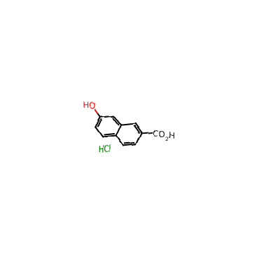 Cl.O=C(O)c1ccc2ccc(O)cc2c1